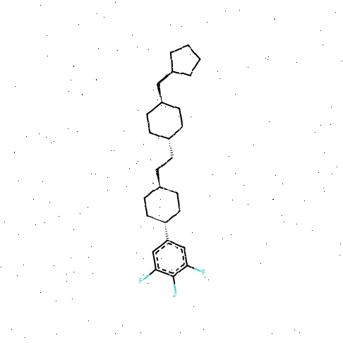 Fc1cc([C@H]2CC[C@H](CC[C@H]3CC[C@H](CC4CCCC4)CC3)CC2)cc(F)c1F